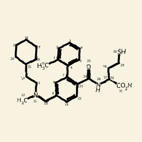 Cc1ccccc1-c1cc(CN(C)CCC2CCCCC2)ccc1C(=O)N[C@@H](CCS)C(=O)O